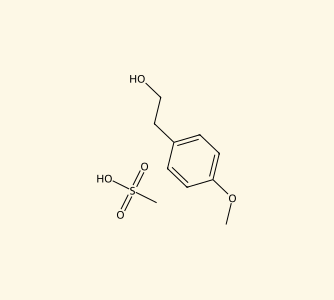 COc1ccc(CCO)cc1.CS(=O)(=O)O